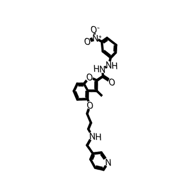 Cc1c(C(=O)NNc2cccc([N+](=O)[O-])c2)oc2cccc(OCCCNCc3cccnc3)c12